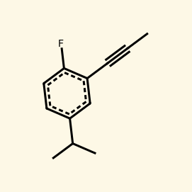 CC#Cc1cc(C(C)C)ccc1F